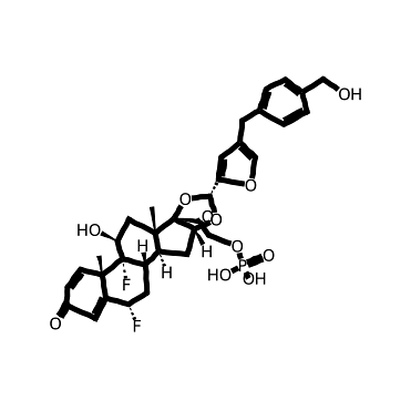 C[C@]12C=CC(=O)C=C1[C@@H](F)C[C@H]1[C@@H]3C[C@H]4O[C@@H](c5cc(Cc6ccc(CO)cc6)co5)O[C@@]4(C(=O)COP(=O)(O)O)[C@@]3(C)C[C@H](O)[C@@]12F